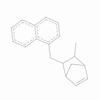 CC1C2C=CC(C2)C1Cc1cccc2ccccc12